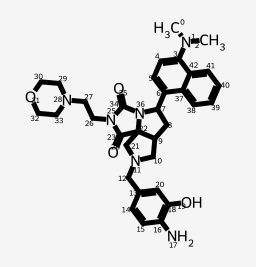 CN(C)c1ccc(C2CC3CN(Cc4ccc(N)c(O)c4)CC34C(=O)N(CCN3CCOCC3)C(=O)N24)c2ccccc12